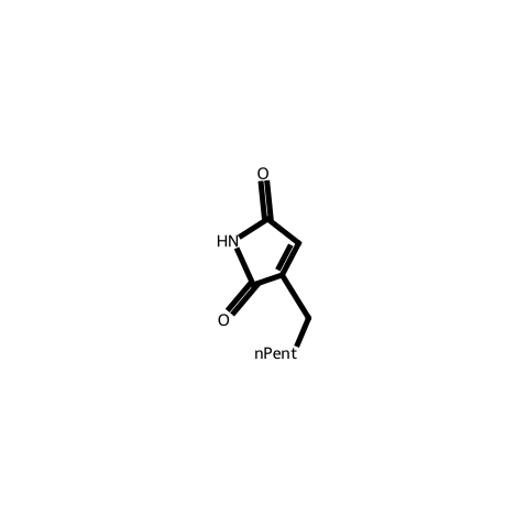 CCCCCCC1=CC(=O)NC1=O